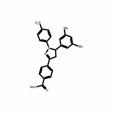 COC(=O)c1ccc(C2=NN(c3ccc([N+](=O)[O-])cc3)C(c3cc(C(C)(C)C)cc(C(C)(C)C)c3)C2)cc1